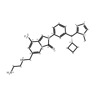 Cn1cnnc1[C@@H](c1cccc(-n2cc3c(C(F)(F)F)cc(CNCCN)cn3c2=O)c1)C1CCC1